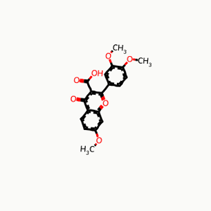 COc1ccc2c(=O)c(C(=O)O)c(-c3ccc(OC)c(OC)c3)oc2c1